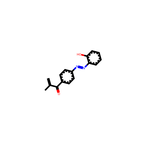 C=C(C)C(=O)c1ccc(N=Nc2ccccc2O)cc1